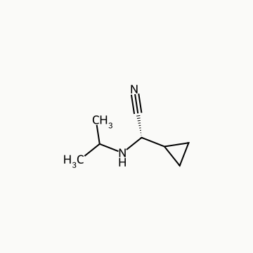 CC(C)N[C@H](C#N)C1CC1